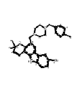 Cc1ccc(CN2CCN(Cc3cc4c([nH]c5ccc(C(C)(C)C)cc54)c4c3OC(C)(C)C=C4)CC2)cc1